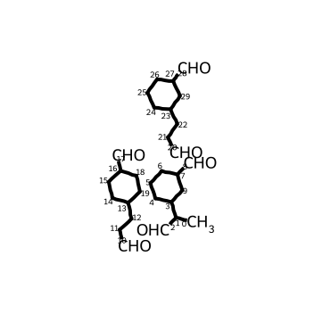 CC(C=O)C1CCCC(C=O)C1.O=CCCC1CCC(C=O)CC1.O=CCCC1CCCC(C=O)C1